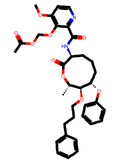 COc1ccnc(C(=O)N[C@H]2CCC[C@H](Oc3ccccc3)[C@@H](OCCCc3ccccc3)[C@H](C)OC2=O)c1OCOC(C)=O